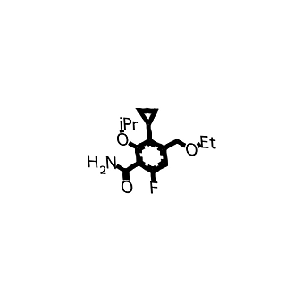 CCOCc1cc(F)c(C(N)=O)c(OC(C)C)c1C1CC1